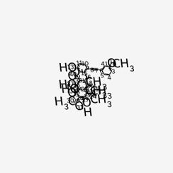 COc1cccc(C#Cc2ccc(O)c3c2C[C@]2(C)C[C@]4(C)C(C(C)C)C(O)=C(C(C)=O)C(=O)[C@]4(O)C(O)=C2C3=O)c1